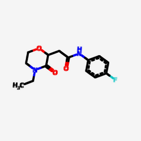 CCN1CCOC(CC(=O)Nc2ccc(F)cc2)C1=O